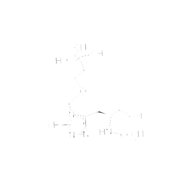 C[Si](C)(C)CCOCn1c(Cl)nnc1C[C@@H](CO)NC(=O)O